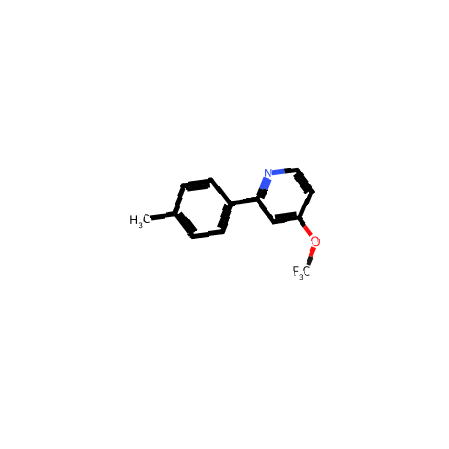 Cc1ccc(-c2cc(OC(F)(F)F)ccn2)cc1